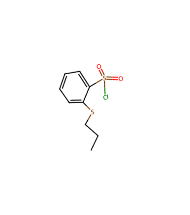 CCCSc1ccccc1S(=O)(=O)Cl